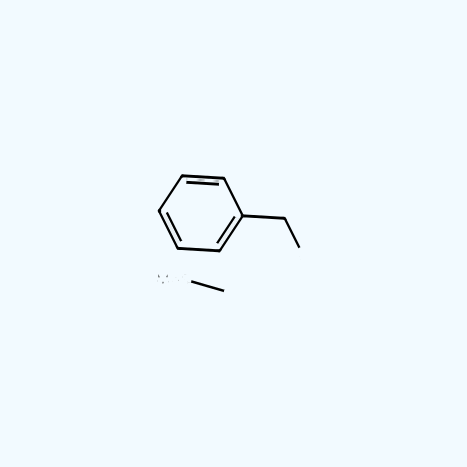 CSC.ClCc1ccccc1